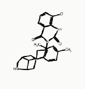 Cc1ccc(N2CC3CNC(C2)C3CCCn2c(=O)[nH]c3c(Cl)cccc3c2=O)c(C)c1